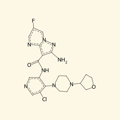 Nc1nn2cc(F)cnc2c1C(=O)Nc1cncc(Cl)c1N1CCN(C2CCOC2)CC1